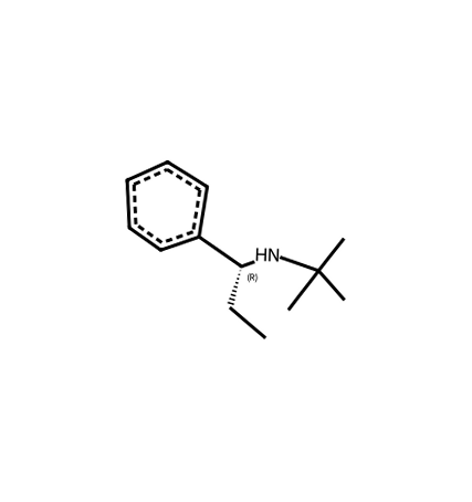 CC[C@@H](NC(C)(C)C)c1ccccc1